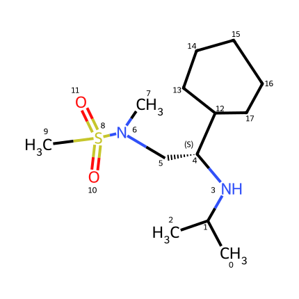 CC(C)N[C@H](CN(C)S(C)(=O)=O)C1CCCCC1